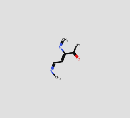 C=N/C(=C\C=N/C)C(=O)C(C)C